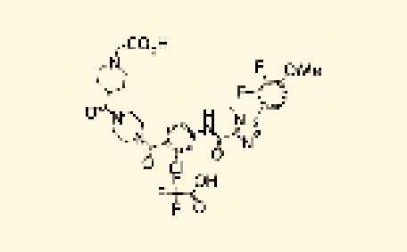 COc1ccc(-c2cnc(C(=O)Nc3ccc(C(=O)N4CCN(C(=O)C5CCN(CC(=O)O)CC5)CC4)c(Cl)c3)n2C)c(F)c1F.O=C(O)C(F)(F)F